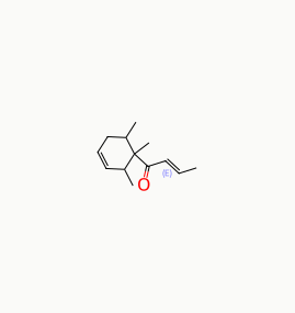 C/C=C/C(=O)C1(C)C(C)C=CCC1C